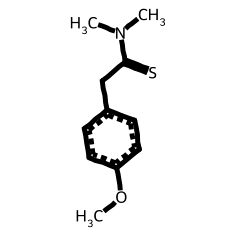 COc1ccc(CC(=S)N(C)C)cc1